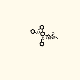 CCNC(=O)c1cc(-c2cc(-c3ccccc3C)c(OCc3ccccc3)cc2OCc2ccccc2)on1